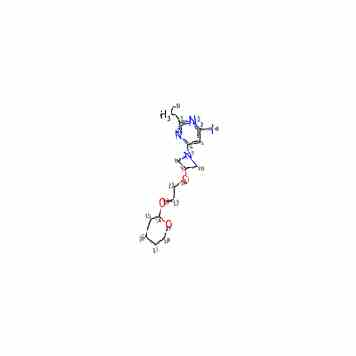 Cc1nc(I)cc(N2CC(OCCOC3CCCCO3)C2)n1